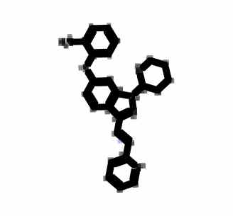 Nc1ccccc1Sc1ccc2c(/C=C/c3ccccn3)nn(C3CCCCO3)c2c1